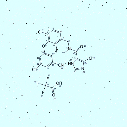 CN(Cc1ccc(Cl)c(Oc2cc(Cl)cc(C#N)c2)c1F)C(=O)c1[nH]cnc1Cl.O=C(O)C(F)(F)F